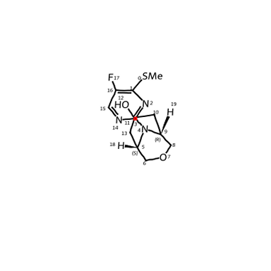 CSc1nc(N2[C@@H]3COC[C@H]2CC(O)C3)ncc1F